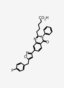 O=C(O)CCCCc1nc2cc(-c3cc(Cc4ccc(F)cc4)on3)ccc2c(=O)n1-c1ccccc1